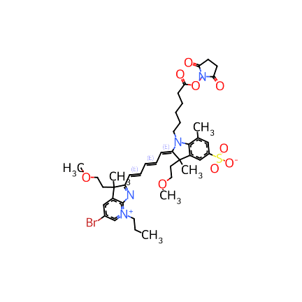 CCC[n+]1cc(Br)cc2c1N=C(/C=C/C=C/C=C1/N(CCCCCC(=O)ON3C(=O)CCC3=O)c3c(C)cc(S(=O)(=O)[O-])cc3C1(C)CCOC)C2(C)CCOC